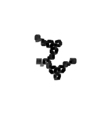 CC(COc1ccc(C2(c3ccc(OCC4CO4)cc3)CCCC2)cc1)COc1ccc(C2(c3ccc(OCC4CO4)cc3)CCCC2)cc1